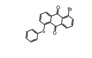 O=C1c2cccc(Sc3ccccc3)c2C(=O)c2cccc(Br)c21